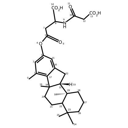 Cc1cc(OC(=O)CC(NC(=O)CC(=O)O)C(=O)O)cc2c1C1(C)CCC3C(C)(C)CCC[C@]3(C)[C@H]1C2